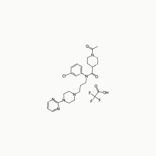 CC(=O)N1CCC(C(=O)N(CCCN2CCN(c3ncccn3)CC2)c2cccc(Cl)c2)CC1.O=C(O)C(F)(F)F